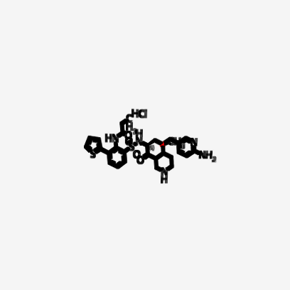 CCC(=O)Nc1c(-c2cccs2)cccc1S(=O)(=O)N[C@@H](CCCc1ccc(N)nc1)C(=O)C1CNCCC1CC.Cl